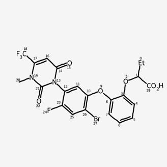 CCC(Oc1ccccc1Oc1cc(-n2c(=O)cc(C(F)(F)F)n(C)c2=O)c(F)cc1Br)C(=O)O